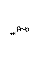 [N-]=[N+]=NCCc1cccc(CCc2ccccn2)n1